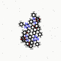 c1ccc(-c2nc(-c3cccc(-c4cccc5c6cc(-c7c(-c8nc(-c9ccccc9)nc(-c9ccccc9)n8)ccc(-n8c9ccccc9c9ccccc98)c7-n7c8ccccc8c8ccccc87)ccc6c6ccccc6c45)c3)nc(-c3ccc(-n4c5ccccc5c5ccccc54)c(-n4c5ccccc5c5ccccc54)c3-c3ccc4ccccc4c3)n2)cc1